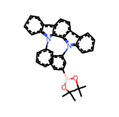 CC1(C)OB(c2cccc(-n3c4ccccc4c4ccc5c6ccccc6n(-c6ccccc6)c5c43)c2)OC1(C)C